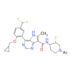 CC(=O)N1CCC(NC(=O)c2c(C)[nH]c3c(-c4cc(C(F)F)ccc4OCC4CC4)ncnc23)C(F)C1